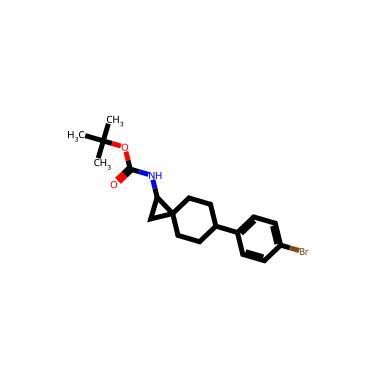 CC(C)(C)OC(=O)NC1CC12CCC(c1ccc(Br)cc1)CC2